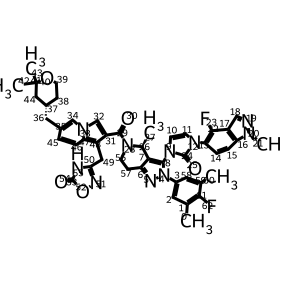 Cc1cc(-n2nc3c(c2-n2ccn(-c4ccc5c(cnn5C)c4F)c2=O)[C@H](C)N(C(=O)c2cn4cc(C[C@H]5CCOC(C)(C)C5)ccc4c2Cc2noc(=O)[nH]2)CC3)cc(C)c1F